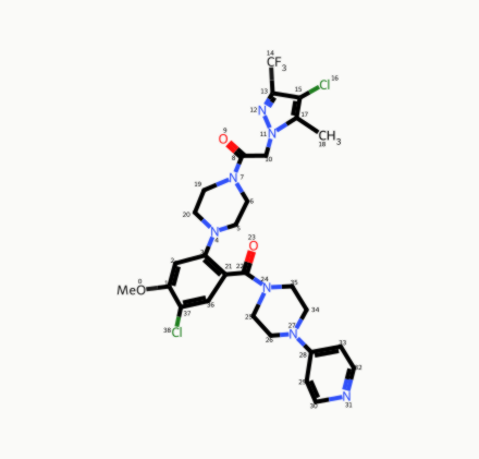 COc1cc(N2CCN(C(=O)Cn3nc(C(F)(F)F)c(Cl)c3C)CC2)c(C(=O)N2CCN(c3ccncc3)CC2)cc1Cl